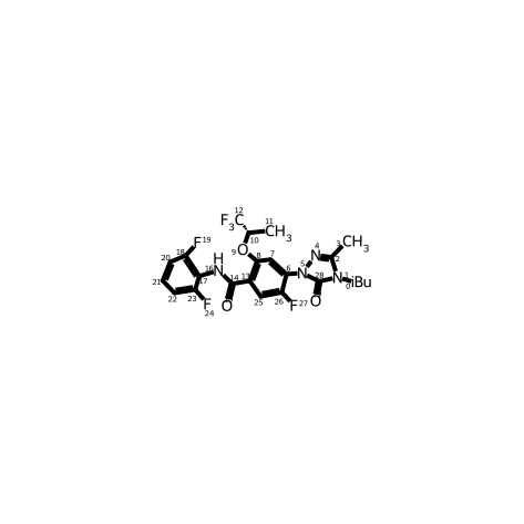 CCC(C)n1c(C)nn(-c2cc(O[C@@H](C)C(F)(F)F)c(C(=O)Nc3c(F)cccc3F)cc2F)c1=O